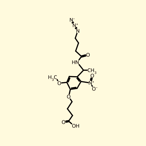 COc1cc(C(C)NC(=O)CCCN=[N+]=[N-])c([N+](=O)[O-])cc1OCCCC(=O)O